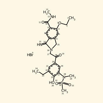 Br.CCOc1cc2c(cc1C(=O)NC)C(=N)N(CC(=O)c1cc(CC)c(O)c(N(C)S(C)(=O)=O)c1)C2